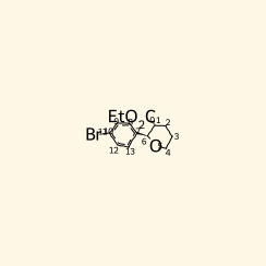 CCOC(=O)[C@@H]1CCCO[C@H]1c1ccc(Br)cc1